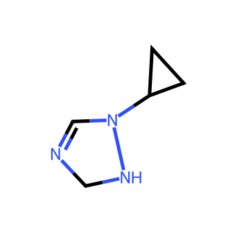 C1=NCNN1C1CC1